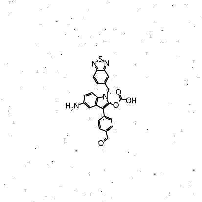 Nc1ccc2c(c1)c(-c1ccc(C=O)cc1)c(OC(=O)O)n2Cc1ccc2nsnc2c1